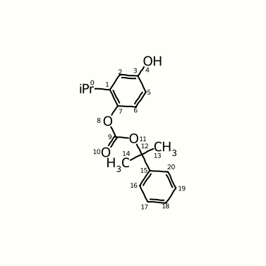 CC(C)c1cc(O)ccc1OC(=O)OC(C)(C)c1ccccc1